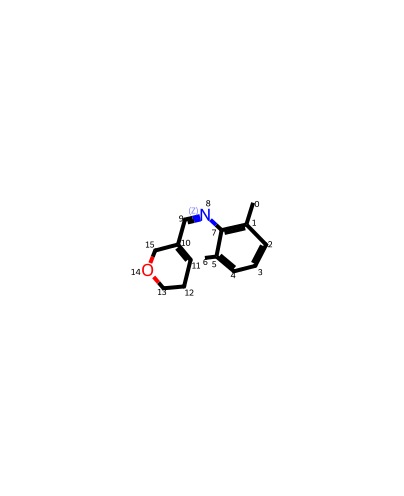 Cc1cccc(C)c1/N=C\C1=CCCOC1